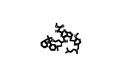 CCC[C@@H](CCO[Si](c1ccccc1)(c1ccccc1)C(C)(C)C)Nc1nc(NC(=O)OC)nc2cnn(Cc3cc(CN(C)CCN(C)C)cnc3OC)c12